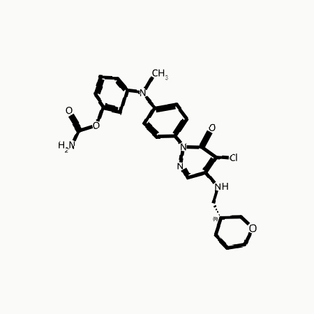 CN(c1ccc(-n2ncc(NC[C@H]3CCCOC3)c(Cl)c2=O)cc1)c1cccc(OC(N)=O)c1